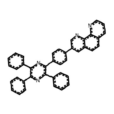 c1ccc(-c2nc(-c3ccccc3)c(-c3ccc(-c4cnc5c(ccc6cccnc65)c4)cc3)nc2-c2ccccc2)cc1